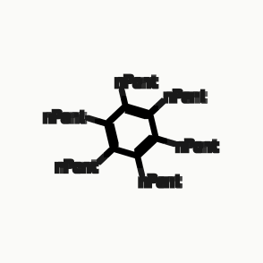 CCCCCc1c(CCCCC)c(CCCCC)c(CCCCC)c(CCCCC)c1CCCCC